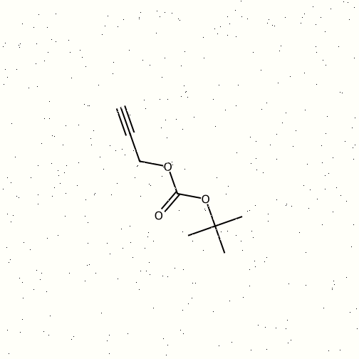 C#CCOC(=O)OC(C)(C)C